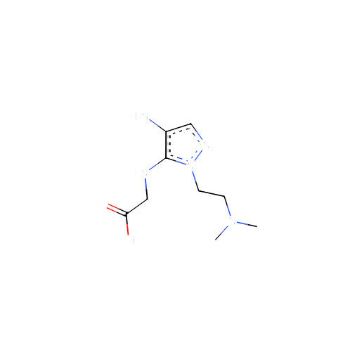 CN(C)CCn1ncc(N)c1NCC(=O)O